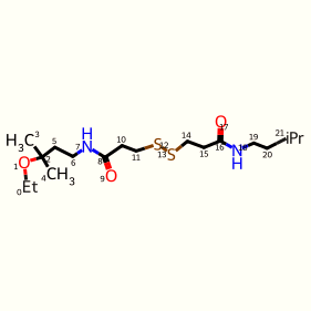 CCOC(C)(C)CCNC(=O)CCSSCCC(=O)NCCC(C)C